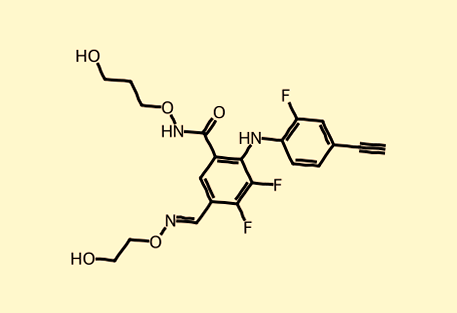 C#Cc1ccc(Nc2c(C(=O)NOCCCO)cc(C=NOCCO)c(F)c2F)c(F)c1